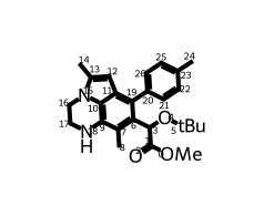 COC(=O)C(OC(C)(C)C)c1c(C)c2c3c(cc(C)n3CCN2)c1-c1ccc(C)cc1